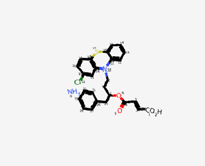 N.O=C(O)/C=C/C(=O)OC(CCN1c2ccccc2Sc2ccc(Cl)cc21)Cc1ccccc1